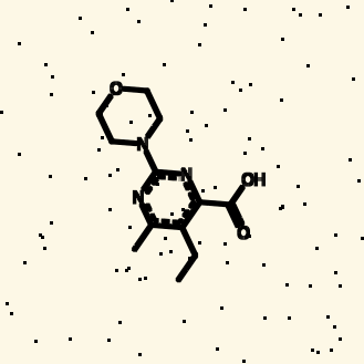 CCc1c(C)nc(N2CCOCC2)nc1C(=O)O